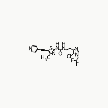 Cc1nc(NC(=O)NCCc2ncn(CC(F)F)c2Cl)sc1C#Cc1ccncc1